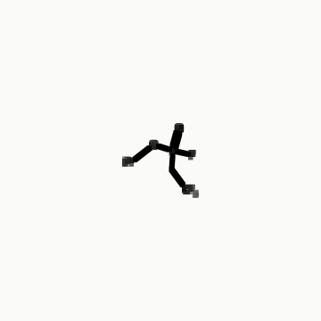 CC(C)OP(=O)(F)CC(F)(F)F